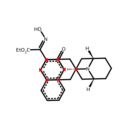 CCOC(=O)/C(=N\O)c1nc2ccccc2n([C@H]2C[C@H]3CCC[C@@H](C2)N3C2CC3CCCC(C3)C2)c1=O